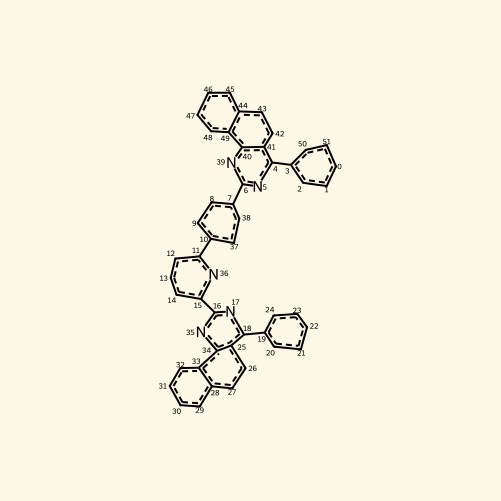 c1ccc(-c2nc(-c3ccc(-c4cccc(-c5nc(-c6ccccc6)c6ccc7ccccc7c6n5)n4)cc3)nc3c2ccc2ccccc23)cc1